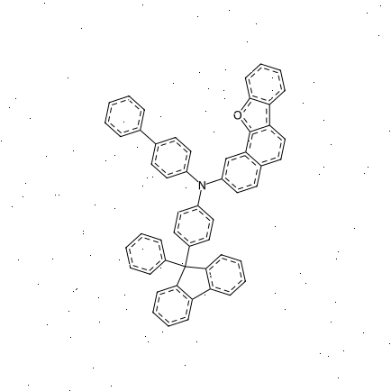 c1ccc(-c2ccc(N(c3ccc(C4(c5ccccc5)c5ccccc5-c5ccccc54)cc3)c3ccc4ccc5c6ccccc6oc5c4c3)cc2)cc1